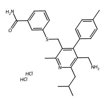 Cc1ccc(-c2c(CSc3cccc(C(N)=O)c3)c(C)nc(CC(C)C)c2CN)cc1.Cl.Cl